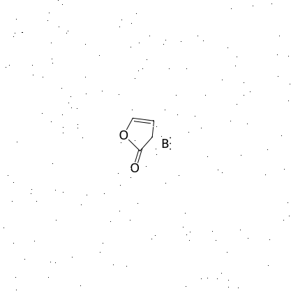 O=C1CC=CO1.[B]